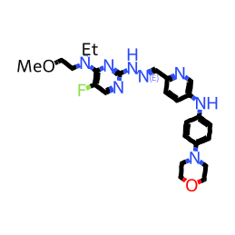 CCN(CCOC)c1nc(N/N=C/c2ccc(Nc3ccc(N4CCOCC4)cc3)cn2)ncc1F